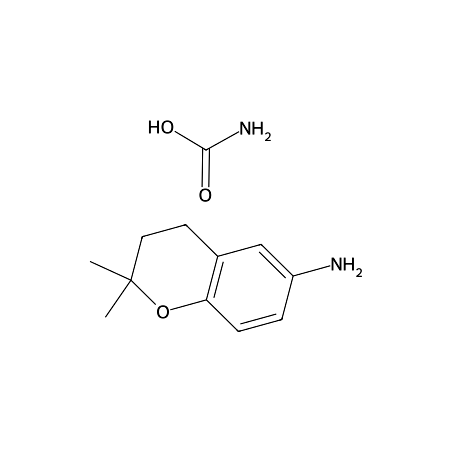 CC1(C)CCc2cc(N)ccc2O1.NC(=O)O